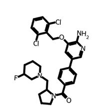 Nc1ncc(-c2ccc(C(=O)N3CCCC3CN3CCCC(F)C3)cc2)cc1OCc1c(Cl)cccc1Cl